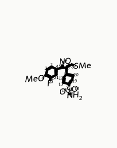 COc1ccc(-c2noc(SC)c2-c2ccc(S(N)(=O)=O)cc2)cc1F